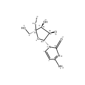 Nc1ccn([C@@H]2O[C@@](CO)(CF)[C@@H](O)[C@H]2Cl)c(=O)n1